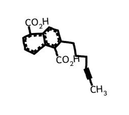 CC#CCCCc1ccc2c(C(=O)O)cccc2c1C(=O)O